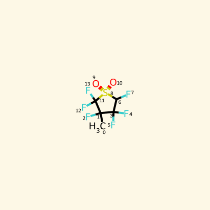 CC1(F)C(F)(F)C(F)S(=O)(=O)C1(F)F